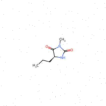 CCC[C@@H]1NC(=O)N(C)C1=O